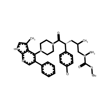 Cc1c[nH]c2ncc(-c3ccccc3)c(N3CCN(C(=O)[C@H](CC(C)CN(N)C(=O)OC(C)(C)C)c4ccc(Cl)cc4)CC3)c12